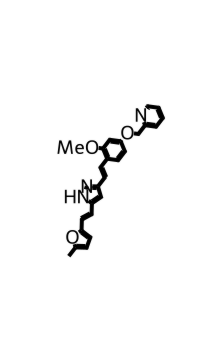 COc1cc(OCc2ccccn2)ccc1C=Cc1cc(/C=C/c2ccc(C)o2)[nH]n1